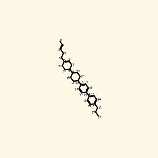 C/C=C/CCC1=CCC(C2CCC(c3ccc(-c4ccc(CCC)cc4)cc3)CC2)CC1